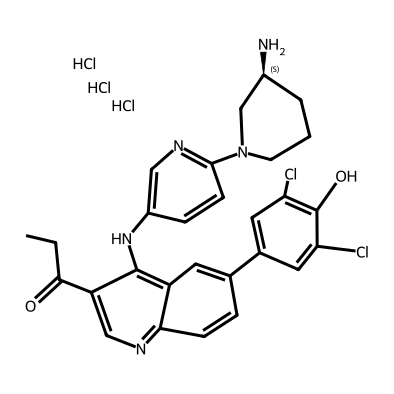 CCC(=O)c1cnc2ccc(-c3cc(Cl)c(O)c(Cl)c3)cc2c1Nc1ccc(N2CCC[C@H](N)C2)nc1.Cl.Cl.Cl